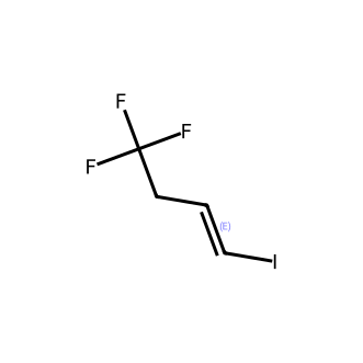 FC(F)(F)C/C=C/I